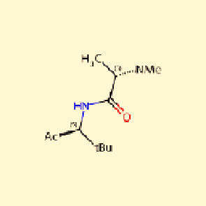 CN[C@@H](C)C(=O)N[C@H](C(C)=O)C(C)(C)C